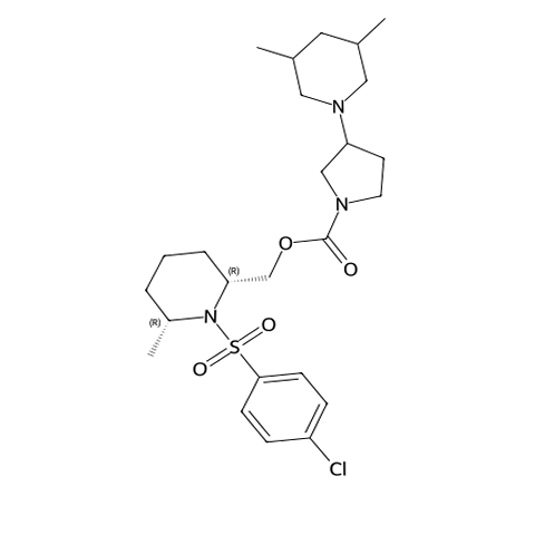 CC1CC(C)CN(C2CCN(C(=O)OC[C@H]3CCC[C@@H](C)N3S(=O)(=O)c3ccc(Cl)cc3)C2)C1